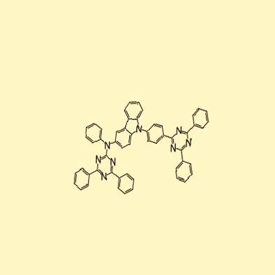 c1ccc(-c2nc(-c3ccccc3)nc(-c3ccc(-n4c5ccccc5c5cc(N(c6ccccc6)c6nc(-c7ccccc7)nc(-c7ccccc7)n6)ccc54)cc3)n2)cc1